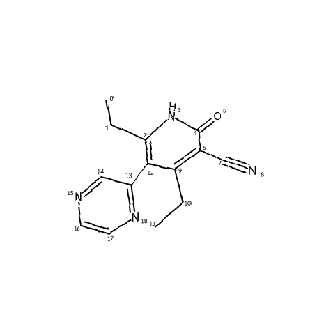 CCc1[nH]c(=O)c(C#N)c(CC)c1-c1cnccn1